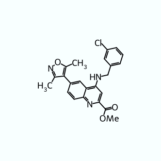 COC(=O)c1cc(NCc2cccc(Cl)c2)c2cc(-c3c(C)noc3C)ccc2n1